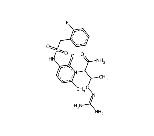 Cc1ccc(NS(=O)(=O)Cc2ccccc2F)c(=O)n1C(C(N)=O)C(C)ON=C(N)N